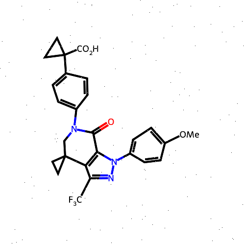 COc1ccc(-n2nc(C(F)(F)F)c3c2C(=O)N(c2ccc(C4(C(=O)O)CC4)cc2)CC32CC2)cc1